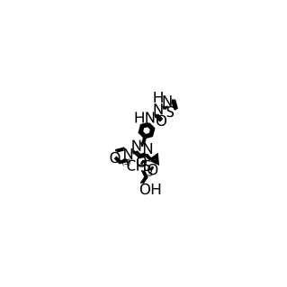 C[C@H]1COCCN1c1cc(C2(S(=O)(=O)CCCO)CC2)nc(-c2ccc(NC(=O)Nc3nccs3)cc2)n1